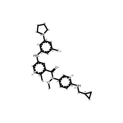 CON(C(=O)c1cc(Nc2cc(F)cc(N3CCCC3)c2)cnc1C)c1ccc(NCC2CC2)nc1